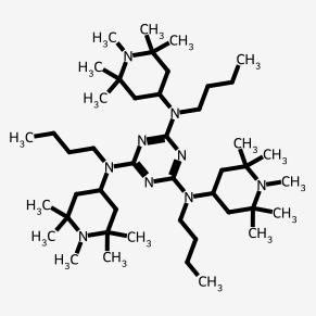 CCCCN(c1nc(N(CCCC)C2CC(C)(C)N(C)C(C)(C)C2)nc(N(CCCC)C2CC(C)(C)N(C)C(C)(C)C2)n1)C1CC(C)(C)N(C)C(C)(C)C1